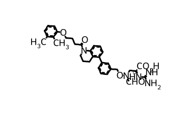 Cc1cccc(OCCCC(=O)N2CCCc3c(-c4cccc(CON(C=O)C[C@H](NC(=N)N)C(=O)O)c4)cccc32)c1C